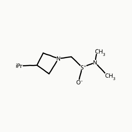 CC(C)C1CN(C[S+]([O-])N(C)C)C1